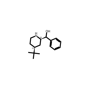 CC(C)(C)[C@H]1CCN[C@@H](C(O)c2ccccc2)C1